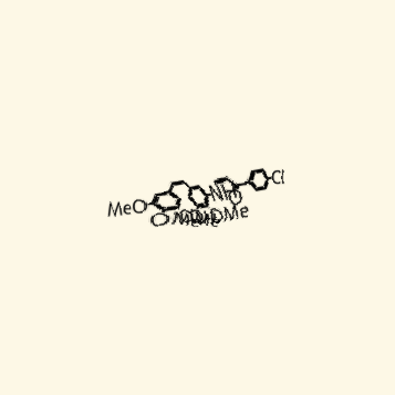 COc1cc(/C=C\c2cc(O)c(OC)c(N/C=C\C(=O)c3ccc(Cl)cc3)c2)cc(OC)c1OC